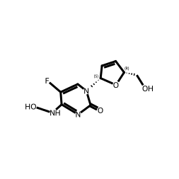 O=c1nc(NO)c(F)cn1[C@@H]1C=C[C@H](CO)O1